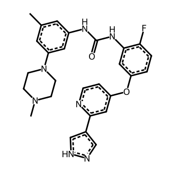 Cc1cc(NC(=O)Nc2cc(Oc3ccnc(-c4cn[nH]c4)c3)ccc2F)cc(N2CCN(C)CC2)c1